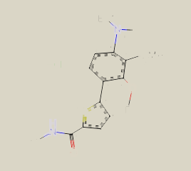 CCOc1c(-c2ccc(C(=O)NC(C)C)s2)ccc(N(CC)CC)c1OC.Cl